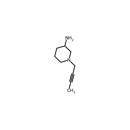 CC#CCN1CCCC(N)C1